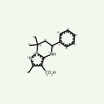 Cc1nn2c(c1C(=O)O)NC(c1ccccc1)CC2(C)C